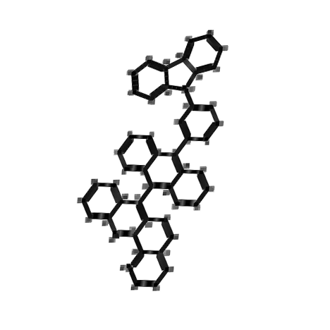 c1cc(-c2c3ccccc3c(-c3c4ccccc4nc4c3ccc3cccnc34)c3ccccc23)cc(-n2c3ccccc3c3ccccc32)c1